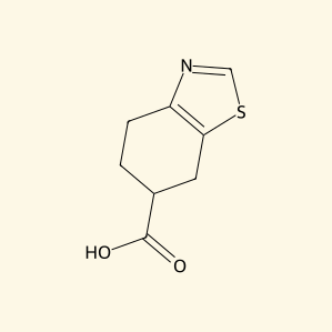 O=C(O)C1CCc2ncsc2C1